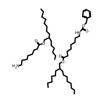 CCCCCCCCC(CCCCCC)COC(=O)CCCCCCCN.CCCCCCCCC(CCCCCC)COC(=O)CCCCCCCNC(=O)OCc1ccccc1